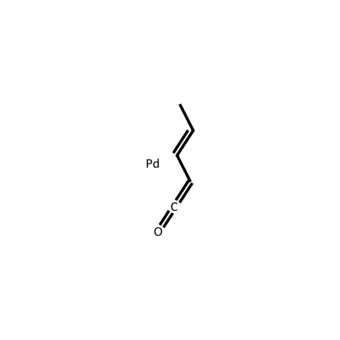 CC=CC=C=O.[Pd]